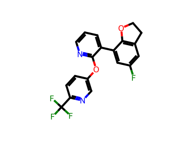 Fc1cc2c(c(-c3cccnc3Oc3ccc(C(F)(F)F)nc3)c1)OCC2